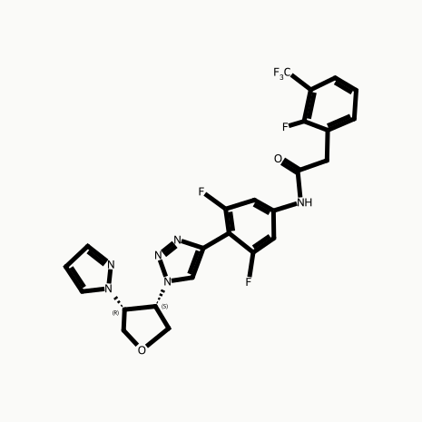 O=C(Cc1cccc(C(F)(F)F)c1F)Nc1cc(F)c(-c2cn([C@@H]3COC[C@@H]3n3cccn3)nn2)c(F)c1